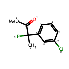 COC(=O)C(C)(F)c1cccc(Cl)c1